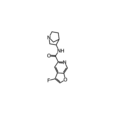 O=C(NC1CN2CCC1C2)c1cc2c(F)coc2cn1